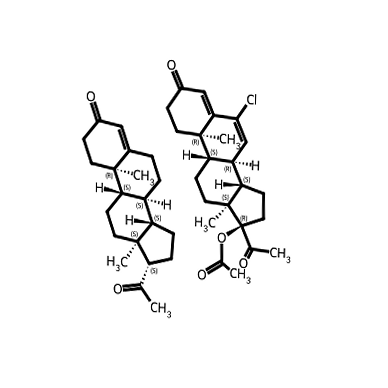 CC(=O)O[C@]1(C(C)=O)CC[C@H]2[C@@H]3C=C(Cl)C4=CC(=O)CC[C@]4(C)[C@H]3CC[C@@]21C.CC(=O)[C@H]1CC[C@H]2[C@@H]3CCC4=CC(=O)CC[C@]4(C)[C@H]3CC[C@]12C